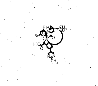 CC(=O)c1nn2c3c(cc(-c4cnc(C)nc4)cc13)CCCCCCC(=O)N(C)C[C@@]13C[C@@H](C(=O)Nc4cc(F)cc(Br)n4)N(C(=O)C2)[C@@H]1C3